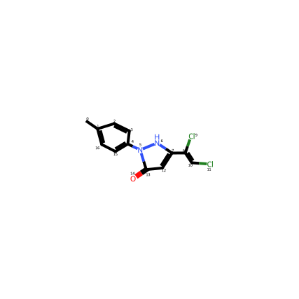 Cc1ccc(-n2[nH]c(C(Cl)=CCl)cc2=O)cc1